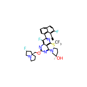 C#Cc1c(F)ccc2cccc(-c3nc(SC(F)(F)F)c4c(N5CCC[C@@](C)(O)C5)nc(OC[C@@]56CCCN5C[C@H](F)C6)nc4c3F)c12